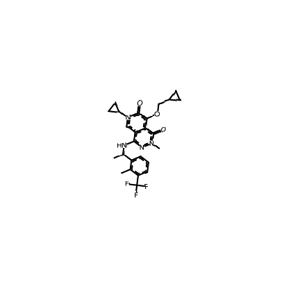 Cc1c(C(C)Nc2nn(C)c(=O)c3c(OCC4CC4)c(=O)n(C4CC4)cc23)cccc1C(F)(F)F